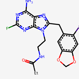 CCC(=O)NCCn1c(Cc2cc3c(cc2I)OCO3)nc2c(N)nc(F)nc21